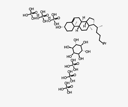 CC(C)CCC[C@@H](C)[C@H]1CC[C@H]2[C@@H]3CC=C4C[C@@H](O)CC[C@]4(C)[C@H]3CC[C@]12C.O=P(O)(O)O.O=P(O)(O)O.O=P(O)(O)O.O=P(O)(O)O.O=P(O)(O)O.O=P(O)(O)O.O[C@H]1[C@H](O)[C@@H](O)[C@H](O)[C@@H](O)[C@H]1O